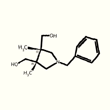 C[C@]1(CO)CN(Cc2ccccc2)C[C@@]1(C)CO